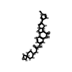 Cn1cc(-c2cn3nc4c5ncc(NC(=O)CN6CCC7(CC6)COC7)cc5[nH]c(=O)c4c3s2)cn1